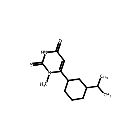 CC(C)C1CCCC(c2cc(=O)[nH]c(=S)n2C)C1